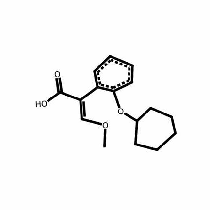 CO/C=C(/C(=O)O)c1ccccc1OC1CCCCC1